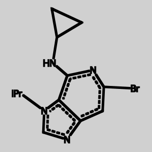 CC(C)n1cnc2cc(Br)nc(NC3CC3)c21